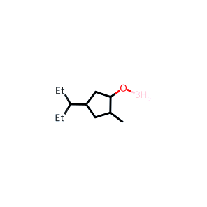 BOC1CC(C(CC)CC)CC1C